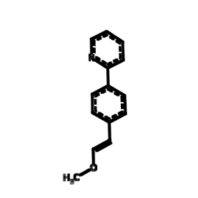 COC=Cc1ccc(-c2ccccn2)cc1